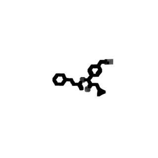 C=C(CCC1CCCCC1)OC(C(=O)CC1CC1)c1ccc(C=N)cc1